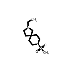 CCN1CCC2(CCN(S(C)(=O)=O)CC2)C1